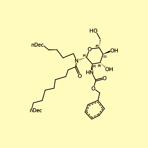 CCCCCCCCCCCCCCCCCC(=O)N(CCCCCCCCCCCCCC)[C@@H]1O[C@H](CO)[C@@H](O)[C@H](O)[C@H]1NC(=O)OCc1ccccc1